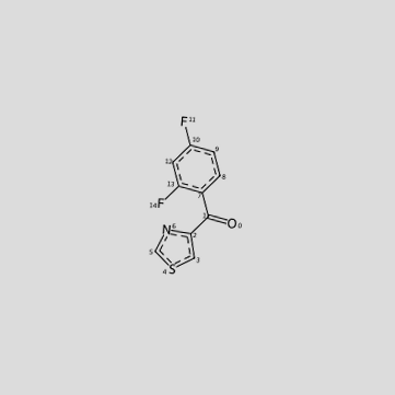 O=C(c1cscn1)c1ccc(F)cc1F